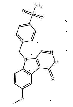 COc1ccc2c(c1)c1c(=O)[nH]ncc1n2Cc1ccc(S(N)(=O)=O)cc1